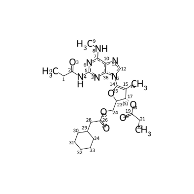 CCC(=O)Nc1nc(NC)c2ncn(C3=C(C)[C@H](OC(=O)CC)C(COC(=O)CC4CCCCC4)O3)c2n1